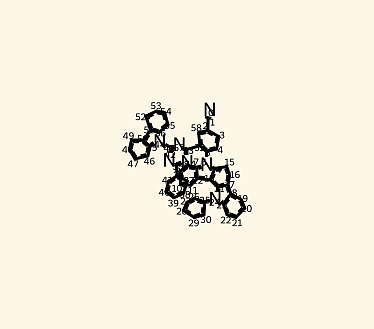 N#Cc1ccc(-n2c3ccccc3c3c2ccc2c4ccccc4n(-c4ccccc4)c23)c(-c2nc(-c3ccccc3)nc(-n3c4ccccc4c4ccccc43)n2)c1